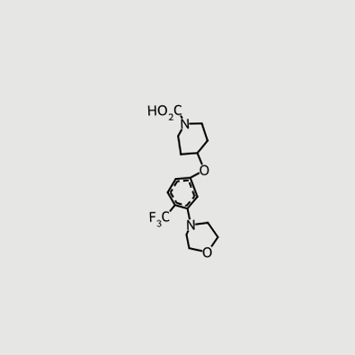 O=C(O)N1CCC(Oc2ccc(C(F)(F)F)c(N3CCOCC3)c2)CC1